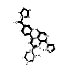 Cc1cnc(-c2ccn[nH]2)c2nc(N3CCOC[C@H]3C)cc(-c3ccc(C(=O)N4CCCC4)cc3)c12